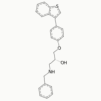 O[C@H](CNCc1ccccc1)COc1ccc(-c2csc3ccccc23)cc1